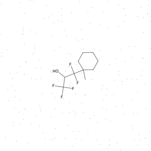 CC1(C(F)(F)C(O)C(F)(F)F)CCCCC1